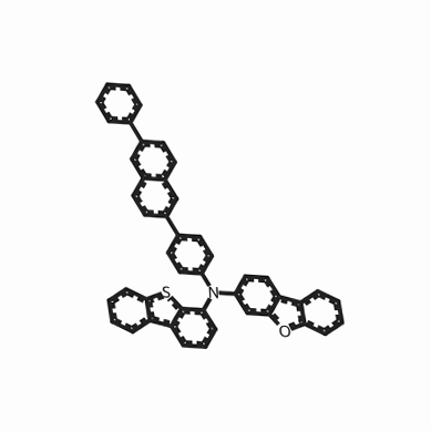 c1ccc(-c2ccc3cc(-c4ccc(N(c5ccc6c(c5)oc5ccccc56)c5cccc6c5sc5ccccc56)cc4)ccc3c2)cc1